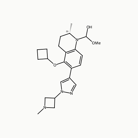 COC(O)N1c2ccc(-c3cnn(C4CN(C)C4)c3)c(OC3CCC3)c2CC[C@@H]1C